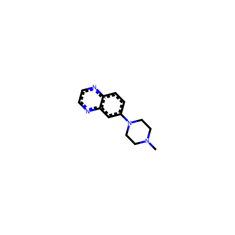 CN1CCN(c2ccc3nccnc3c2)CC1